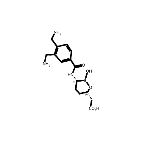 NCc1ccc(C(=O)N[C@H]2CC[C@@H](CC(=O)O)OB2O)cc1CN